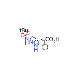 CC(C)(C)OC(=O)Nc1ccc2c(C=C(C(=O)O)c3ccccc3)c[nH]c2n1